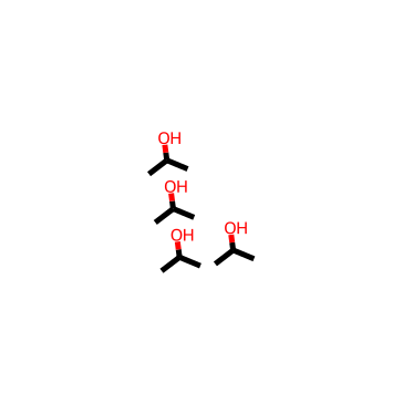 CC(C)O.CC(C)O.CC(C)O.CC(C)O